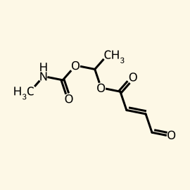 CNC(=O)OC(C)OC(=O)C=CC=O